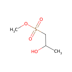 COS(=O)(=O)CC(C)O